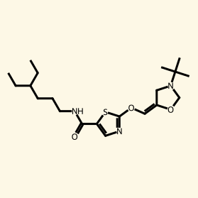 CCC(CC)CCCNC(=O)c1cnc(OC=C2CN(C(C)(C)C)CO2)s1